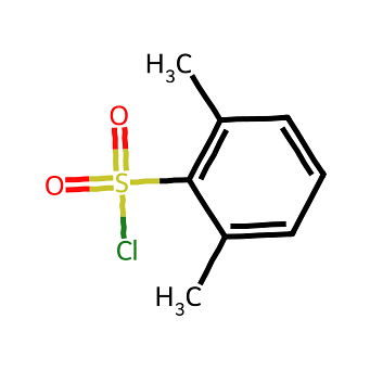 Cc1cccc(C)c1S(=O)(=O)Cl